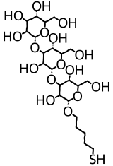 OCC1O[C@H](OC2C(O)[C@@H](OC3C(O)[C@@H](OCCCCCS)OC(CO)[C@@H]3O)OC(CO)[C@H]2O)C(O)C(O)[C@@H]1O